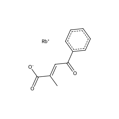 C/C(=C\C(=O)c1ccccc1)C(=O)[O-].[Rb+]